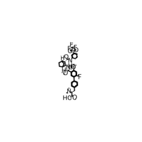 COc1cc(F)c(-c2ccc(C[C@@H](C(=O)O)N(C)C)cc2)cc1C(=O)N[C@@H]1[C@H]2CC[C@H](C2)[C@@H]1C(=O)Nc1cccc(S(=O)(=O)C(F)(F)F)c1